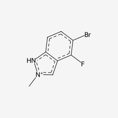 C[n+]1cc2c(F)c(Br)ccc2[nH]1